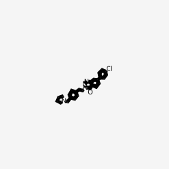 O=c1c2ccc(-c3ccc(Cl)cc3)cc2nnn1CCc1ccc(CN2CCCC2)cc1